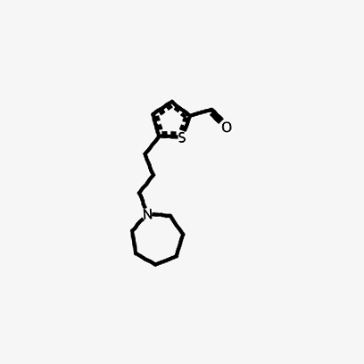 O=Cc1ccc(CCCN2CCCCCC2)s1